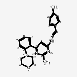 Cc1ccc(/C=N/Nc2cc(-c3ccccc3N3CCOCC3)nc(C)n2)cc1